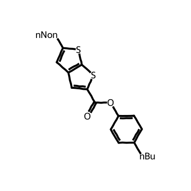 CCCCCCCCCc1cc2cc(C(=O)Oc3ccc(CCCC)cc3)sc2s1